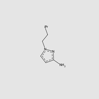 CC(C)CCn1ccc(N)n1